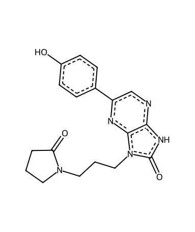 O=C1CCCN1CCCn1c(=O)[nH]c2ncc(-c3ccc(O)cc3)nc21